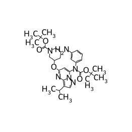 CC(C)c1cnn2c(N(C(=O)OC(C)(C)C)c3cccc(N)c3)cc(OC3CCCN(C(=O)OC(C)(C)C)C3)nc12